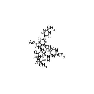 CC(=O)c1cn(CC(=O)N2[C@H](C(=O)Nc3nc(C(F)(F)F)ncc3C)C[C@@]3(C)C[C@@H]23)c2c(C)cc(-c3cnc(C)nc3)cc12